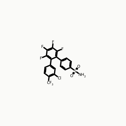 NS(=O)(=O)c1ccc(-c2c(F)c(F)c(F)c(F)c2-c2ccc(C(F)(F)F)c(Cl)c2)cc1